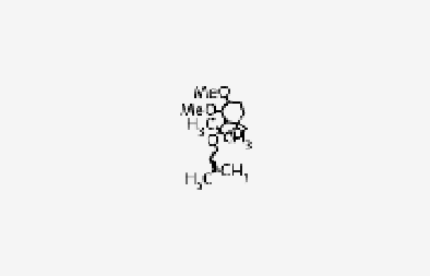 COC1CC[C@]2(CO2)C(C(C)(C)OCC=C(C)C)C1OC